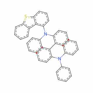 c1ccc(N(c2ccccc2)c2ccccc2-c2ccccc2N(c2ccccc2)c2cccc3sc4ccccc4c23)cc1